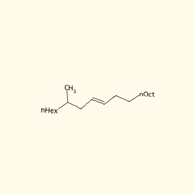 [CH2]CCCCCCCCCC=CCC(C)CCCCCC